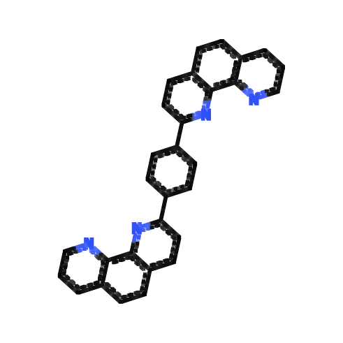 c1cnc2c(c1)ccc1ccc(-c3ccc(-c4ccc5ccc6cccnc6c5n4)cc3)nc12